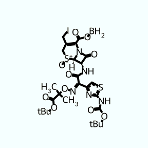 BOC(=O)C1=C(CI)C[S+]([O-])[C@@H]2[C@H](NC(=O)/C(=N\OC(C)(C)C(=O)OC(C)(C)C)c3csc(NC(=O)OC(C)(C)C)n3)C(=O)N12